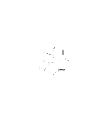 C[N](C)[Sn]([N](C)C)([N](C)C)[N](C)C.[In]